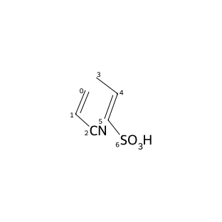 C=CC#N.CC=CS(=O)(=O)O